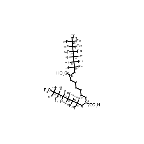 O=C(O)N(CCCCCCN(CC(F)(F)C(F)(F)C(F)(F)C(F)(F)C(F)(F)C(F)(F)C(F)(F)F)C(=O)O)CC(F)(F)C(F)(F)C(F)(F)C(F)(F)C(F)(F)C(F)(F)C(F)(F)F